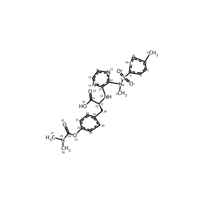 Cc1ccc(S(=O)(=O)N(C)c2nccnc2N[C@@H](Cc2ccc(OC(=O)N(C)C)cc2)C(=O)O)cc1